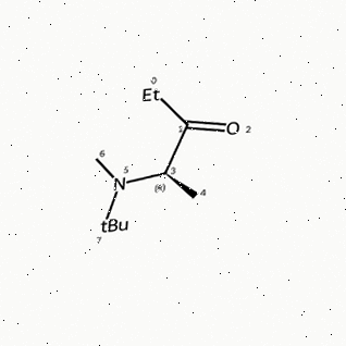 CCC(=O)[C@@H](C)N(C)C(C)(C)C